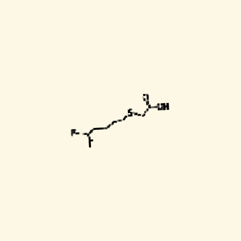 O=C(O)CSCCCCC(F)F